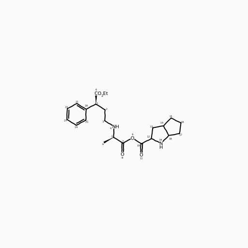 CCOC(=O)[C@@H](CCN[C@H](C)C(=O)OC(=O)C1CC2CCCC2N1)c1ccccc1